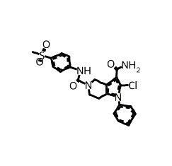 CS(=O)(=O)c1ccc(NC(=O)N2CCc3c(c(C(N)=O)c(Cl)n3-c3ccccc3)C2)cc1